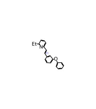 CCc1cccc(/C=C/c2cccc(Oc3ccccc3)c2)n1